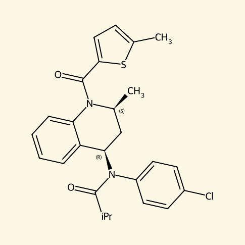 Cc1ccc(C(=O)N2c3ccccc3[C@H](N(C(=O)C(C)C)c3ccc(Cl)cc3)C[C@@H]2C)s1